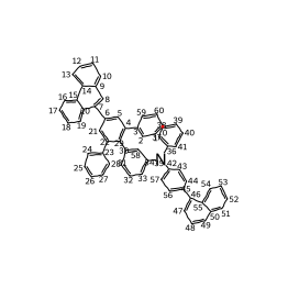 c1ccc(-c2cc(-c3cc4ccccc4c4ccccc34)cc(-c3ccccc3)c2-c2cccc(N(c3ccccc3)c3ccc(-c4cccc5ccccc45)cc3)c2)cc1